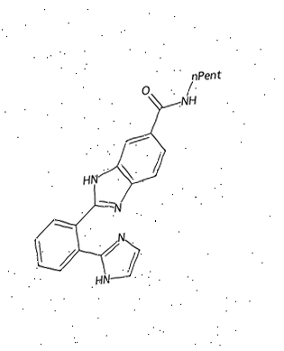 CCCCCNC(=O)c1ccc2nc(-c3ccccc3-c3ncc[nH]3)[nH]c2c1